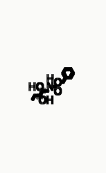 CC[C@@H](O)[C@@H](O)CNC(=O)OCc1ccccc1